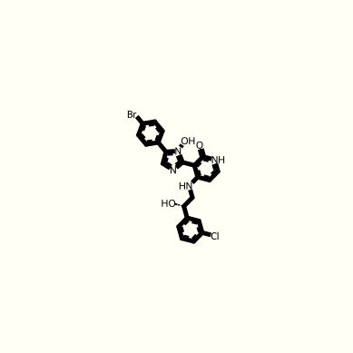 O=c1[nH]ccc(NC[C@@H](O)c2cccc(Cl)c2)c1-c1ncc(-c2ccc(Br)cc2)n1O